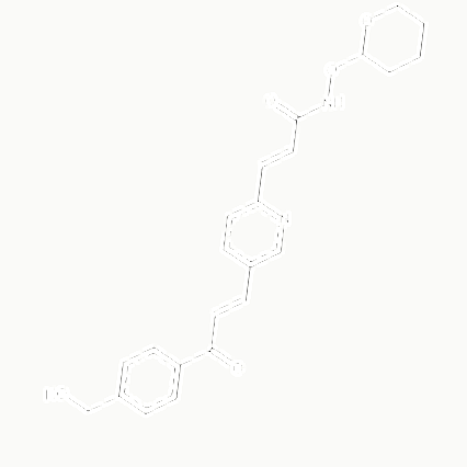 O=C(/C=C/c1ccc(/C=C/C(=O)c2ccc(CO)cc2)cn1)NOC1CCCCO1